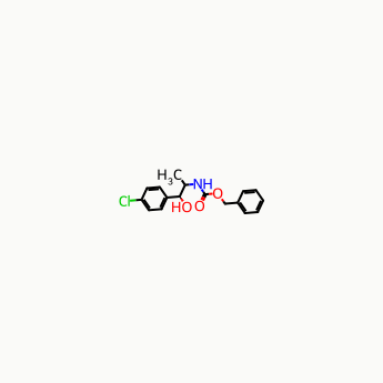 CC(NC(=O)OCc1ccccc1)[C@@H](O)c1ccc(Cl)cc1